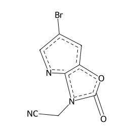 N#CCn1c(=O)oc2cc(Br)cnc21